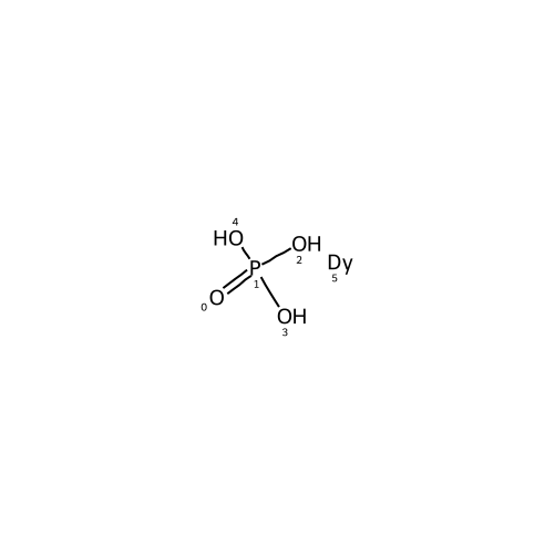 O=P(O)(O)O.[Dy]